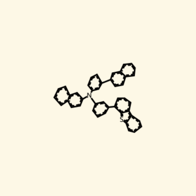 c1cc(-c2ccc3ccccc3c2)cc(N(c2cccc(-c3cccc4c3sc3ccccc34)c2)c2ccc3ccccc3c2)c1